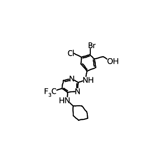 OCc1cc(Nc2ncc(C(F)(F)F)c(NC3CCCCC3)n2)cc(Cl)c1Br